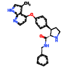 Cc1c[nH]c2nccc(Oc3ccc([C@H]4CCN[C@@H]4C(=O)NCc4ccccc4)cc3)c12